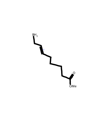 BC/C=C/CCCCC(=O)OC